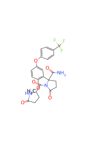 COc1ccc(Oc2ccc(C(F)(F)F)cc2)cc1C1(C(N)=O)CCC(=O)N1C(=O)C1CCC(=O)N1